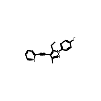 CCc1c(C#Cc2ccccn2)c(C)nn1-c1ccc(F)cc1